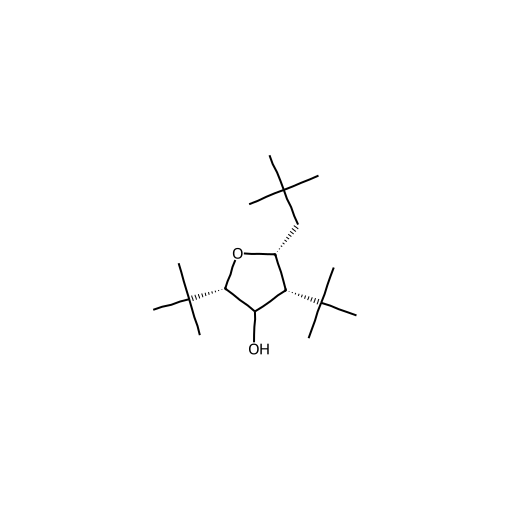 CC(C)(C)C[C@H]1O[C@@H](C(C)(C)C)C(O)[C@H]1C(C)(C)C